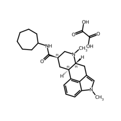 CN1C[C@H](C(=O)NC2CCCCCC2)C[C@@H]2c3cccc4c3c(cn4C)C[C@H]21.O=C(O)C(=O)O